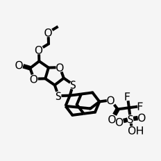 COCOC1C(=O)OC2C1OC1SC3(SC12)C1CC2CC3CC(OC(=O)C(F)(F)S(=O)(=O)O)(C2)C1